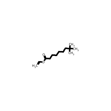 C=COC(=O)CCCCCCC(C)(C)C